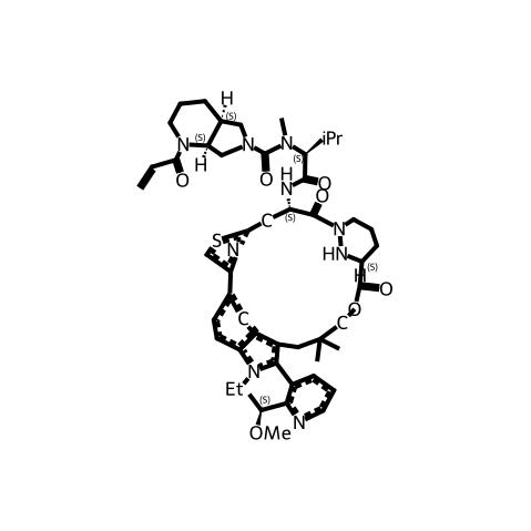 C=CC(=O)N1CCC[C@H]2CN(C(=O)N(C)[C@H](C(=O)N[C@H]3Cc4nc(cs4)-c4ccc5c(c4)c(c(-c4cccnc4[C@H](C)OC)n5CC)CC(C)(C)COC(=O)[C@@H]4CCCN(N4)C3=O)C(C)C)C[C@H]21